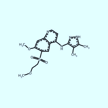 COCCS(=O)(=O)c1cc2c(Nc3n[nH]c(C)c3C)ccnc2cc1OC